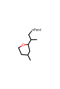 CCCCCCC(C)C1CC(C)CCO1